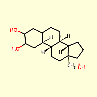 C[C@]12CC[C@H]3[C@@H](CCC4CC(O)C(O)C[C@@H]43)[C@@H]1CC[C@@H]2O